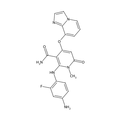 Cn1c(Nc2ccc(N)cc2F)c(C(N)=O)c(Oc2cccn3ccnc23)cc1=O